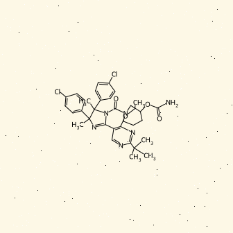 CCOc1nc(C(C)(C)C)ncc1C1=NC(C)(c2ccc(Cl)cc2)C(C)(c2ccc(Cl)cc2)N1C(=O)N1CCCC(OC(N)=O)C1